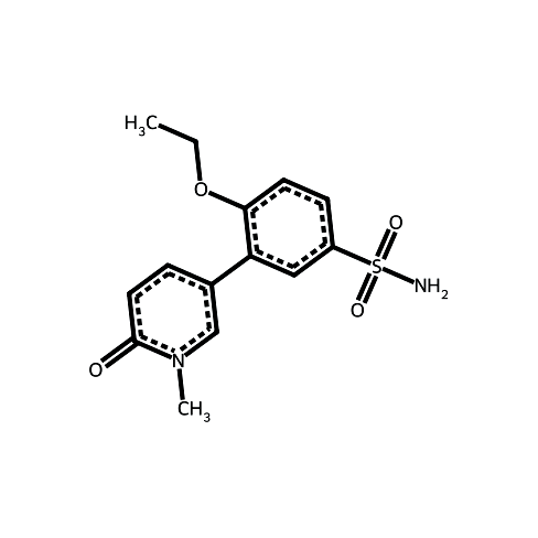 CCOc1ccc(S(N)(=O)=O)cc1-c1ccc(=O)n(C)c1